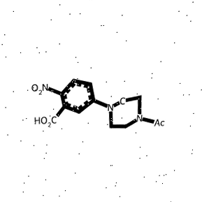 CC(=O)N1CCN(c2ccc([N+](=O)[O-])c(C(=O)O)c2)CC1